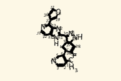 Cc1ccncc1-c1cc2c(-c3nc4c(-c5ccoc5)nccc4[nH]3)n[nH]c2cc1F